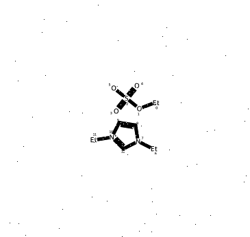 CCOS(=O)(=O)[O-].CCn1cc[n+](CC)c1